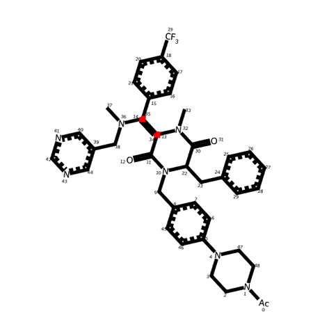 CC(=O)N1CCN(c2ccc(CN(C(=O)C=Cc3ccc(C(F)(F)F)cc3)C(Cc3ccccc3)C(=O)N(C)CCN(C)Cc3cncnc3)cc2)CC1